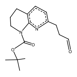 CC(C)(C)OC(=O)N1CCCc2ccc(CCC=O)nc21